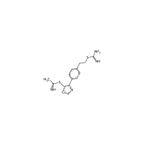 CC(=N)Sc1ocnc1-c1ccc(CCSC(=N)N)cc1